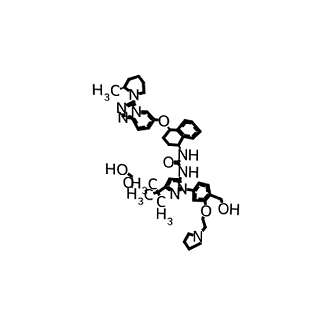 C[C@H]1CCCCN1c1nnc2ccc(O[C@@H]3CC[C@H](NC(=O)Nc4cc(C(C)(C)C)nn4-c4ccc(CO)c(OCCN5CCCC5)c4)c4ccccc43)cn12.O=CO